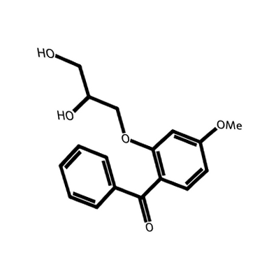 COc1ccc(C(=O)c2ccccc2)c(OCC(O)CO)c1